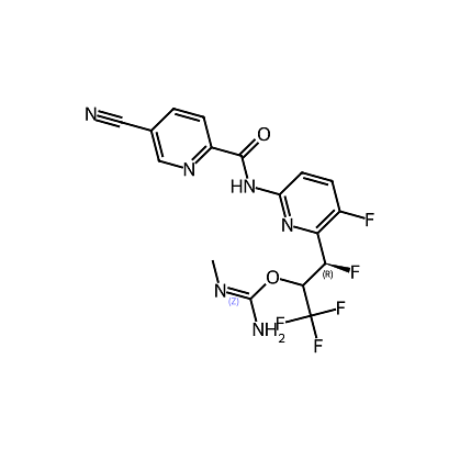 C/N=C(/N)OC([C@H](F)c1nc(NC(=O)c2ccc(C#N)cn2)ccc1F)C(F)(F)F